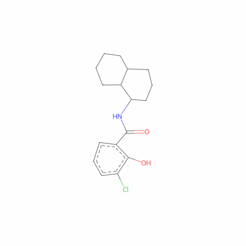 O=C(NC1CCCC2CCCCC21)c1cccc(Cl)c1O